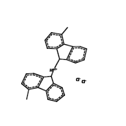 Cc1cccc2c1-c1ccccc1[CH]2[Hf+2][CH]1c2ccccc2-c2c(C)cccc21.[Cl-].[Cl-]